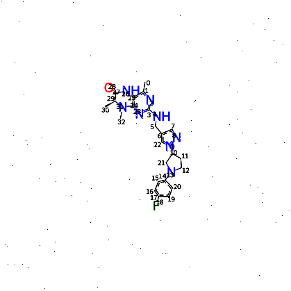 Cc1nc(NCc2cnn([C@@H]3CCN(c4ccc(F)cc4)C3)c2)nc2c1NC(=O)[C@H](C)N2C